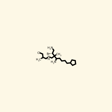 CC(CCl)CNCC(C)(C(N)CCCCC1CCCC1)[C@H](Br)CN